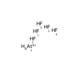 F.F.F.F.F.[AtH6+5]